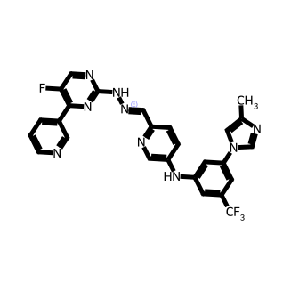 Cc1cn(-c2cc(Nc3ccc(/C=N/Nc4ncc(F)c(-c5cccnc5)n4)nc3)cc(C(F)(F)F)c2)cn1